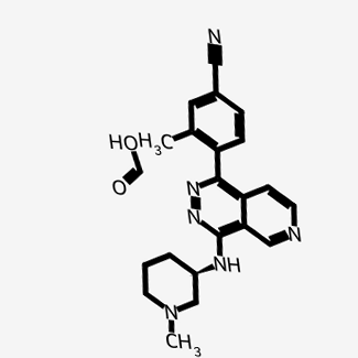 Cc1cc(C#N)ccc1-c1nnc(N[C@@H]2CCCN(C)C2)c2cnccc12.O=CO